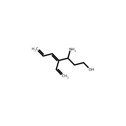 C=C/C=C(\C=C)C(N)CCO